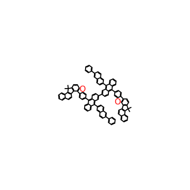 CC1(C)c2ccc3c(oc4cc(-c5c6ccccc6c(-c6ccc7cc(-c8ccccc8)ccc7c6)c6cc(-c7ccc8c(-c9ccc%10c(c9)oc9ccc%11c(c9%10)-c9ccc%10ccccc%10c9C%11(C)C)c9ccccc9c(-c9ccc%10cc(-c%11ccccc%11)ccc%10c9)c8c7)ccc56)ccc43)c2-c2ccc3ccccc3c21